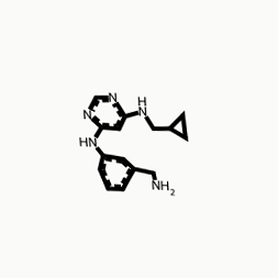 NCc1cccc(Nc2cc(NCC3CC3)ncn2)c1